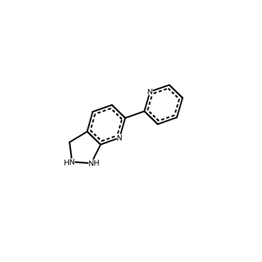 c1ccc(-c2ccc3c(n2)NNC3)nc1